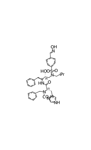 CC(C)CN(C[C@@H](O)[C@H](Cc1ccccc1)NC(=O)[C@H](Cc1c[nH]cn1)N(Cc1ccccc1)C(=O)O)S(=O)(=O)c1ccc(C=NO)cc1